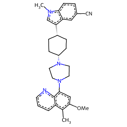 COc1cc(N2CCN([C@H]3CC[C@@H](c4cn(C)c5ccc(C#N)cc54)CC3)CC2)c2ncccc2c1C